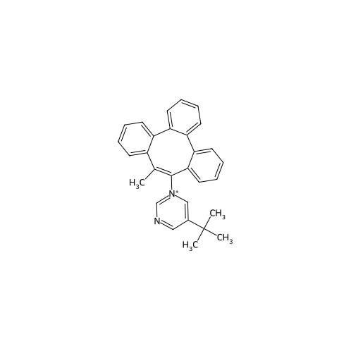 C/C1=C(\[n+]2cncc(C(C)(C)C)c2)c2ccccc2-c2ccccc2-c2ccccc21